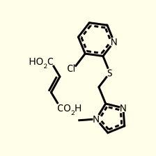 Cn1ccnc1CSc1ncccc1Cl.O=C(O)C=CC(=O)O